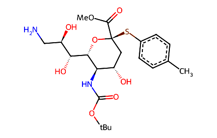 COC(=O)[C@]1(Sc2ccc(C)cc2)C[C@H](O)[C@@H](NC(=O)OC(C)(C)C)[C@H]([C@H](O)[C@H](O)CN)O1